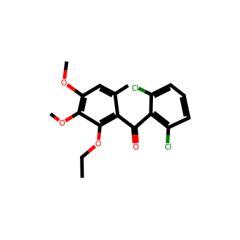 CCOc1c(OC)c(OC)cc(C)c1C(=O)c1c(Cl)cccc1Cl